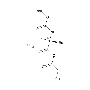 CC(C)(C)OC(=O)N[C@@](CC(=O)O)(C(=O)OC(=O)CO)C(C)(C)C